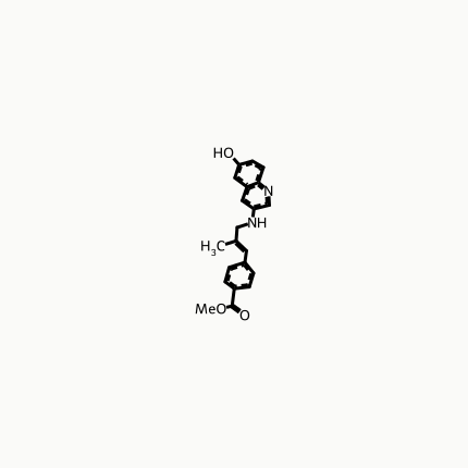 COC(=O)c1ccc(C=C(C)CNc2cnc3ccc(O)cc3c2)cc1